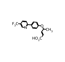 CC(C=CC(=O)O)Oc1ccc(-c2ccc(C(F)(F)F)cn2)cc1